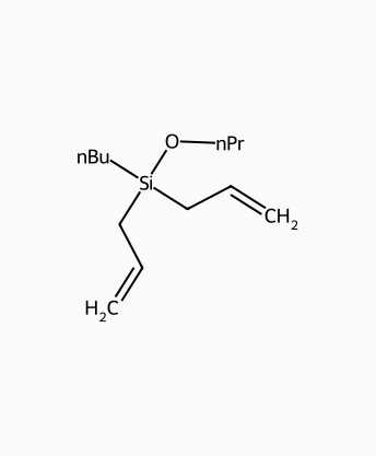 C=CC[Si](CC=C)(CCCC)OCCC